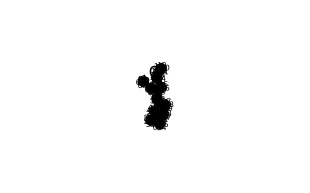 c1ccc(-c2ccc3c(c2)c2c(-c4ccc5oc6ccccc6c5c4)cccc2n3-c2ccc3c(c2)c2ccccc2n3-c2cccc([Si](c3ccccc3)(c3ccccc3)c3ccccc3)c2)cc1